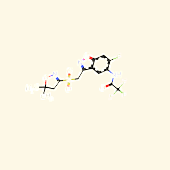 CC1(C)CC(S(=O)(=O)Cc2noc3cc(F)c(NC(=O)C(F)(F)F)cc23)=NO1